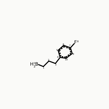 BCCCc1ccc(F)cc1